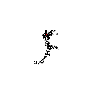 COc1cc(/C=C/C(=O)OCCCCO[N+](=O)[O-])ccc1OC(=O)CC[C@H]1CC[C@@](c2cc(F)ccc2F)(S(=O)(=O)c2ccc(C(F)(F)F)cc2)CC1